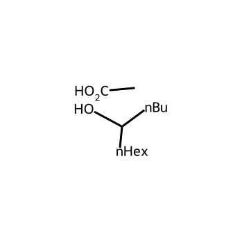 CC(=O)O.CCCCCCC(O)CCCC